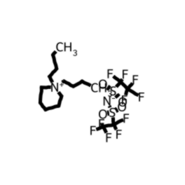 CCCC[N+]1(CCCC)CCCCC1.O=S(=O)([N-]S(=O)(=O)C(F)(F)C(F)(F)F)C(F)(F)C(F)(F)F